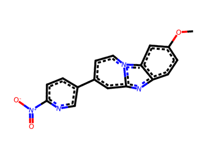 COc1ccc2nc3cc(-c4ccc([N+](=O)[O-])nc4)ccn3c2c1